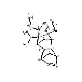 BBB(B)C1(B(B)B)C2CC(C3C4C=CC(C4)C32)C1(B)BB